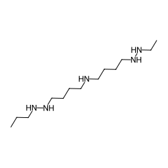 CCCNNCCCCNCCCCNNCC